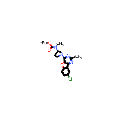 CN(C(=O)OC(C)(C)C)[C@@H]1CCN(c2nc(C(F)(F)F)nc3c2oc2ccc(Cl)cc23)C1